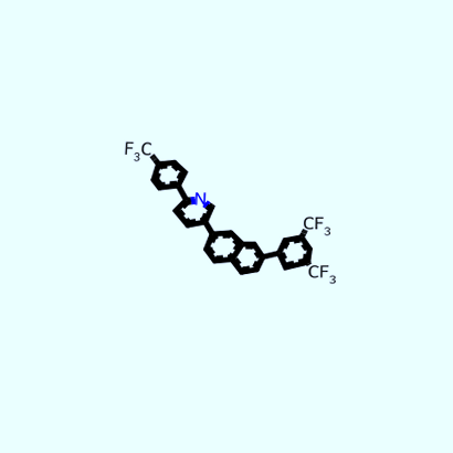 FC(F)(F)c1ccc(-c2ccc(-c3ccc4ccc(-c5cc(C(F)(F)F)cc(C(F)(F)F)c5)cc4c3)cn2)cc1